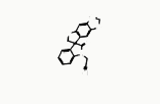 C#CCN1C(=O)C2(COc3cc4c(cc32)OCO4)c2ccccc21